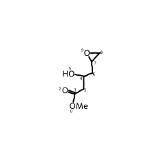 COC(=O)CC(O)CC1CO1